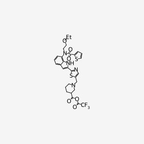 CCOCCN(c1cccc2cc(-c3ncc(CN4CCCC(C(=O)OC(=O)C(F)(F)F)C4)s3)[nH]c12)S(=O)(=O)c1cccs1